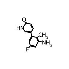 Cc1c(N)cc(F)cc1-c1ccc(=O)[nH]c1